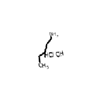 BCCCCC.Cl.Cl